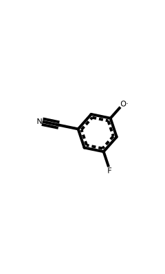 N#Cc1cc([O])cc(F)c1